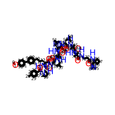 COc1ccc(-c2ccc(CCC[C@H](NC(=O)[C@@H]3CCCN3C(=O)c3ccc(C)cc3)C(=O)N[C@@H](CC(C)C)C(=O)NC(C)(C)C(=O)N[C@@H](CC(C)C)C(=O)N[C@@H](CC(C)C)C(=O)NC(C)(C)C(=O)NC(C)(C)C(=O)NCCC(=O)NC3(CN(C)C)CCC3)cc2)cc1